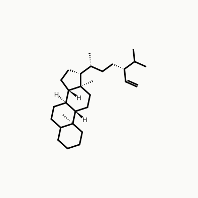 C=C[C@H](CC[C@@H](C)[C@H]1CC[C@H]2[C@@H]3CCC4CCCC[C@]4(C)[C@H]3CC[C@]12C)C(C)C